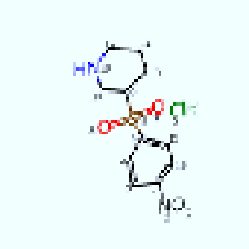 Cl.O=[N+]([O-])c1ccc(S(=O)(=O)C2CCCNC2)cc1